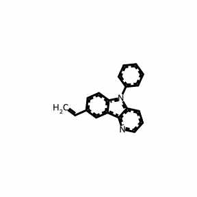 C=Cc1ccc2c(c1)c1ncccc1n2-c1ccccc1